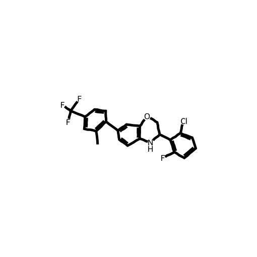 Cc1cc(C(F)(F)F)ccc1-c1ccc2c(c1)OCC(c1c(F)cccc1Cl)N2